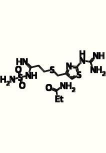 CCC(N)=O.N=C(N)Nc1nc(CSCCC(=N)NS(N)(=O)=O)cs1